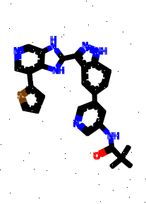 CC(C)(C)C(=O)Nc1cncc(-c2ccc3[nH]nc(C4Nc5cncc(-c6cccs6)c5N4)c3c2)c1